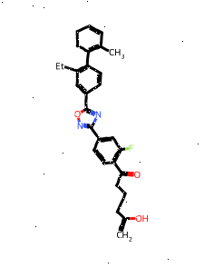 C=C(O)CCCC(=O)c1ccc(-c2noc(-c3ccc(C4=C(C)C=CCC4)c(CC)c3)n2)cc1F